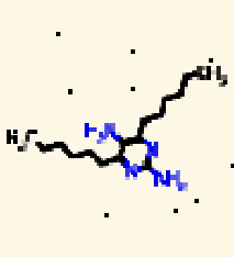 CCCCCCc1nc(N)nc(CCCCCC)c1N